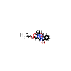 CCCOC(=O)C=C(CN1C(=O)c2ccccc2C1=O)NCC